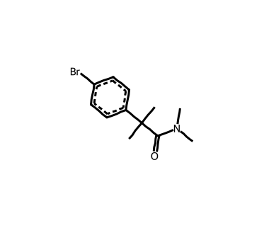 CN(C)C(=O)C(C)(C)c1ccc(Br)cc1